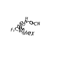 CCCCCCc1ccc(-c2cc(N3CCC[C@H]3C(=O)NCCc3ccc(C#N)cc3)nc(C(F)(F)F)n2)s1